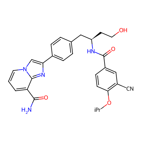 CC(C)Oc1ccc(C(=O)N[C@H](CCO)Cc2ccc(-c3cn4cccc(C(N)=O)c4n3)cc2)cc1C#N